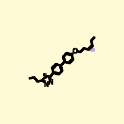 CC/C=C\CCOc1ccc(-c2ccc(-c3nnc(CCC)s3)cc2)cc1